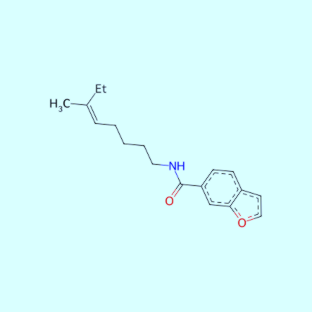 CC/C(C)=C\CCCCNC(=O)c1ccc2ccoc2c1